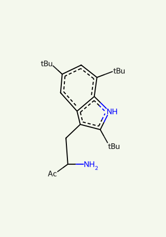 CC(=O)C(N)Cc1c(C(C)(C)C)[nH]c2c(C(C)(C)C)cc(C(C)(C)C)cc12